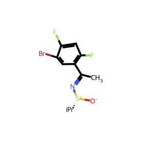 C/C(=N\[S@+]([O-])C(C)C)c1cc(Br)c(F)cc1F